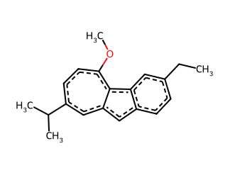 CCc1ccc2cc3cc(C(C)C)ccc(OC)c-3c2c1